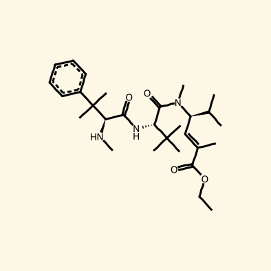 CCOC(=O)/C(C)=C/[C@H](C(C)C)N(C)C(=O)[C@@H](NC(=O)[C@@H](NC)C(C)(C)c1ccccc1)C(C)(C)C